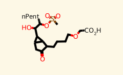 CCCCCC(OS(C)(=O)=O)C(O)C1C2CC(=O)C(CCCCOCC(=O)O)C21